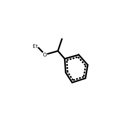 CCOC(C)c1[c]cccc1